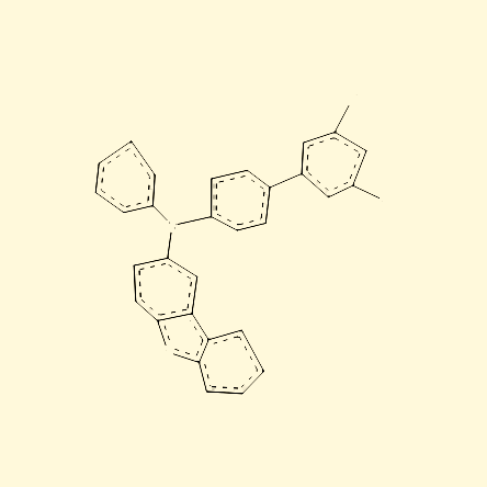 Clc1cc(Cl)cc(-c2ccc(N(c3ccccc3)c3ccc4sc5ccccc5c4c3)cc2)c1